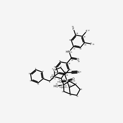 N#CC1CON(Cc2ccccc2)C1[C@]1(O)CC2CCC(C1)[C@H]2S(=O)(=O)c1cc(C(=O)Nc2cc(F)c(F)c(F)c2)ccc1Cl